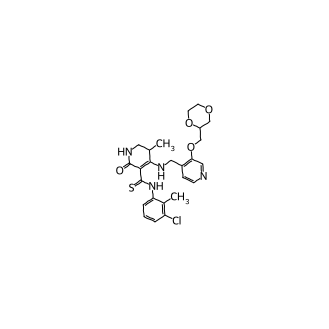 Cc1c(Cl)cccc1NC(=S)C1=C(NCc2ccncc2OCC2COCCO2)C(C)CNC1=O